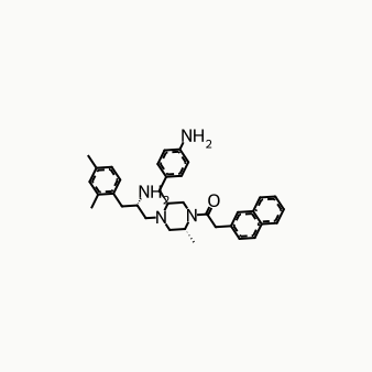 Cc1ccc(C[C@H](N)CN2C[C@@H](C)N(C(=O)Cc3ccc4ccccc4c3)C[C@@H]2Cc2ccc(N)cc2)c(C)c1